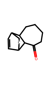 O=C1CCCCC2C3C=CC(CC3)C12